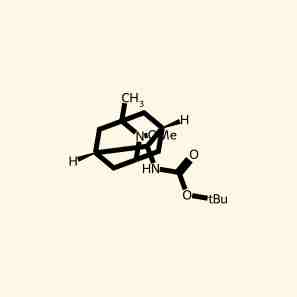 CON1C2C[C@@H]3CC1(C)C[C@H](C2)C3NC(=O)OC(C)(C)C